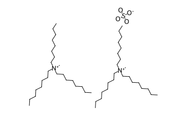 CCCCCCCC[N+](C)(CCCCCCCC)CCCCCCCC.CCCCCCCC[N+](C)(CCCCCCCC)CCCCCCCC.O=S(=O)([O-])[O-]